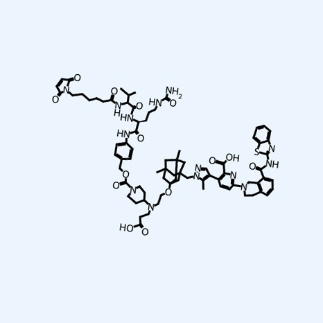 Cc1c(-c2ccc(N3CCc4cccc(C(=O)Nc5nc6ccccc6s5)c4C3)nc2C(=O)O)cnn1CC12CC3(C)CC(C)(C1)CC(OCCN(CCC(=O)O)C1CCN(C(=O)OCc4ccc(NC(=O)[C@H](CCCNC(N)=O)NC(=O)C(NC(=O)CCCCCN5C(=O)C=CC5=O)C(C)C)cc4)CC1)(C3)C2